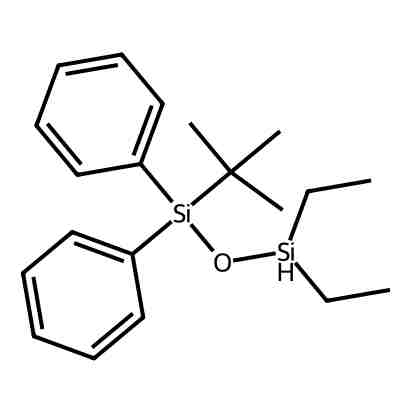 CC[SiH](CC)O[Si](c1ccccc1)(c1ccccc1)C(C)(C)C